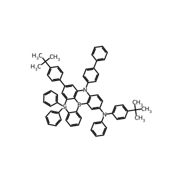 CC(C)(C)c1ccc(-c2cc3c4c(c2)[Si](c2ccccc2)(c2ccccc2)c2ccccc2B4c2cc(N(c4ccccc4)c4ccc(C(C)(C)C)cc4)ccc2N3c2ccc(-c3ccccc3)cc2)cc1